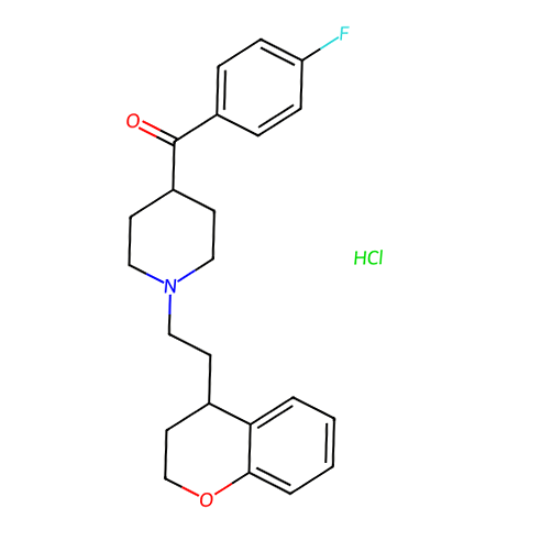 Cl.O=C(c1ccc(F)cc1)C1CCN(CCC2CCOc3ccccc32)CC1